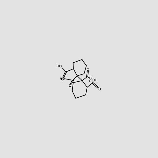 O=C(O)C1CCCCC1(C(=O)O)C1(C(=O)O)CCCCC1C(=O)O